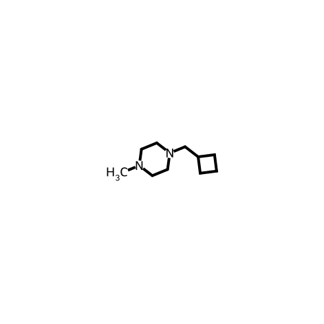 CN1CCN(CC2CCC2)CC1